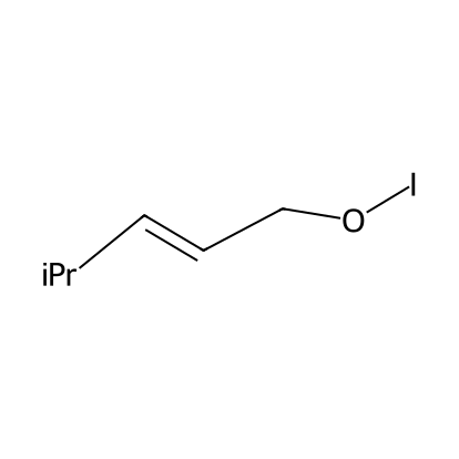 CC(C)/C=C/COI